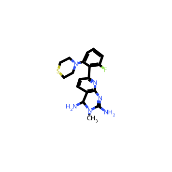 CN1C(N)=Nc2nc(-c3c(F)cccc3N3CCSCC3)ccc2C1N